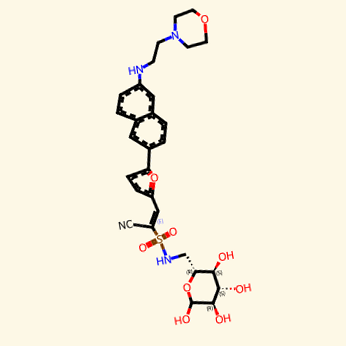 N#C/C(=C\c1ccc(-c2ccc3cc(NCCN4CCOCC4)ccc3c2)o1)S(=O)(=O)NC[C@H]1OC(O)[C@H](O)[C@@H](O)[C@@H]1O